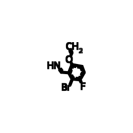 C=COc1ccc(F)c(Br)c1C=N